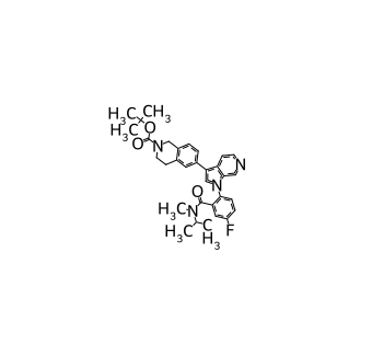 CC(C)N(C)C(=O)c1cc(F)ccc1-n1cc(-c2ccc3c(c2)CCN(C(=O)OC(C)(C)C)C3)c2ccncc21